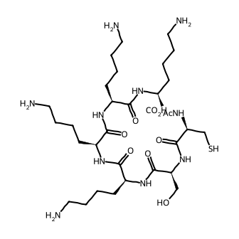 CC(=O)N[C@@H](CS)C(=O)N[C@@H](CO)C(=O)N[C@@H](CCCCN)C(=O)N[C@@H](CCCCN)C(=O)N[C@@H](CCCCN)C(=O)N[C@@H](CCCCN)C(=O)O